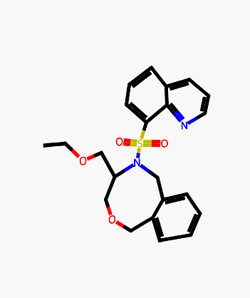 CCOCC1COCc2ccccc2CN1S(=O)(=O)c1cccc2cccnc12